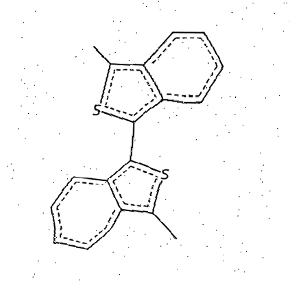 Cc1sc(-c2sc(C)c3ccccc23)c2ccccc12